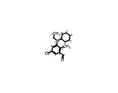 CCN(c1cc(Cl)cc(C=O)c1C)C1CCCCC1